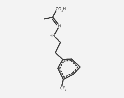 CC(=NNCCc1cccc(C(F)(F)F)c1)C(=O)O